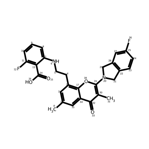 Cc1cc(CCNc2cccc(F)c2C(=O)O)c2oc(N3Cc4ccc(F)cc4C3)c(C)c(=O)c2c1